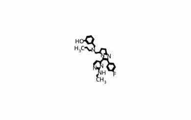 CCCN(Cc1cccc(O)c1)CC1CCc2nc(-c3ccc(F)cc3)c(-c3ccnc(NCC)n3)n21